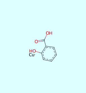 O=C(O)c1ccccc1O.[Cu]